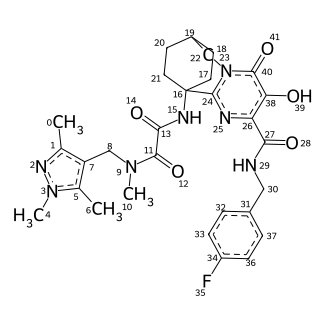 Cc1nn(C)c(C)c1CN(C)C(=O)C(=O)NC12CCC(CC1)Cn1c2nc(C(=O)NCc2ccc(F)cc2)c(O)c1=O